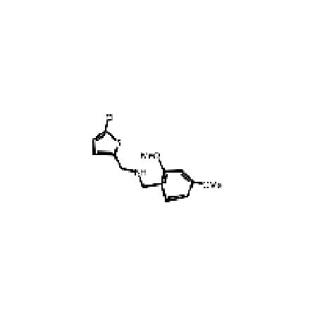 COc1ccc(CNCc2ccc(Cl)s2)c(OC)c1